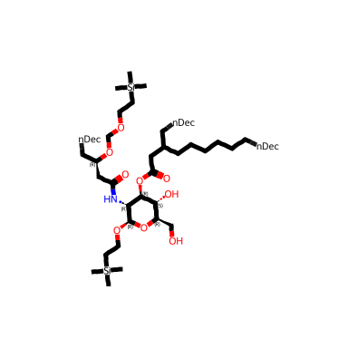 CCCCCCCCCCCCCCCCC(CCCCCCCCCCC)CC(=O)O[C@H]1[C@H](O)[C@@H](CO)O[C@@H](OCC[Si](C)(C)C)[C@@H]1NC(=O)C[C@@H](CCCCCCCCCCC)OCOCC[Si](C)(C)C